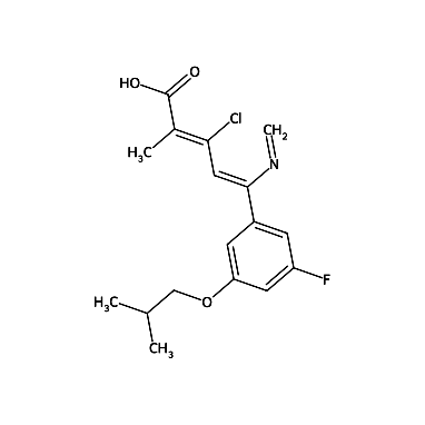 C=N/C(=C\C(Cl)=C(/C)C(=O)O)c1cc(F)cc(OCC(C)C)c1